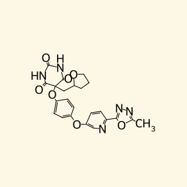 Cc1nnc(-c2ccc(Oc3ccc(OC4(CC5CCCO5)C(=O)NC(=O)NC4=O)cc3)cn2)o1